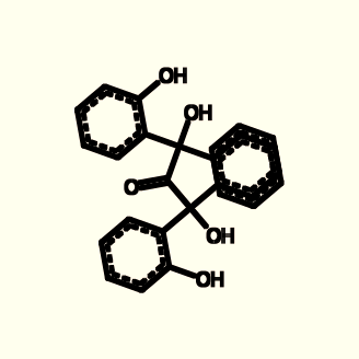 O=C(C(O)(c1ccccc1)c1ccccc1O)C(O)(c1ccccc1)c1ccccc1O